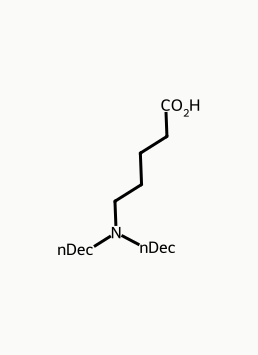 CCCCCCCCCCN(CCCCCCCCCC)CCCCC(=O)O